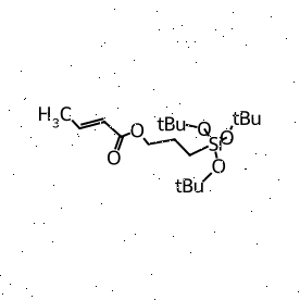 CC=CC(=O)OCCC[Si](OC(C)(C)C)(OC(C)(C)C)OC(C)(C)C